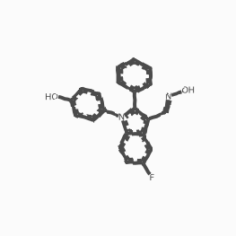 ON=Cc1c(-c2ccccc2)n(-c2ccc(O)cc2)c2ccc(F)cc12